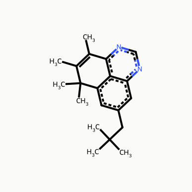 CC1=C(C)C(C)(C)c2cc(CC(C)(C)C)cc3ncnc1c23